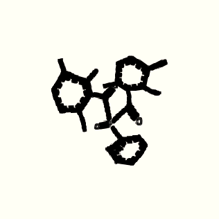 Cc1ccc(C)c(C(=O)P(=O)(C(=O)c2c(C)ccc(C)c2C)c2ccccc2)c1C